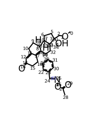 COC[C@]1(O)CC[C@H]2[C@@H]3CCC4=CC(=O)CCC4=C3[C@@H](c3ccc(/C=N/OC(C)=O)cc3)C[C@@]21C